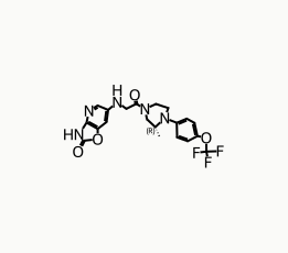 C[C@@H]1CN(C(=O)CNc2cnc3[nH]c(=O)oc3c2)CCN1c1ccc(OC(F)(F)F)cc1